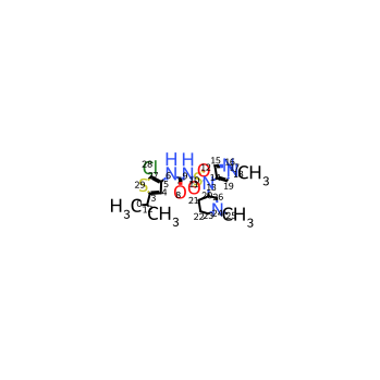 CC(C)c1cc(NC(=O)NS(=O)(=O)N(c2cnn(C)c2)C2CCCN(C)C2)c(Cl)s1